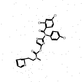 CN(CCc1ccccn1)C(=O)Oc1csc(N(C(=O)c2ccc(Cl)cc2Cl)c2ccc(Cl)cc2)n1